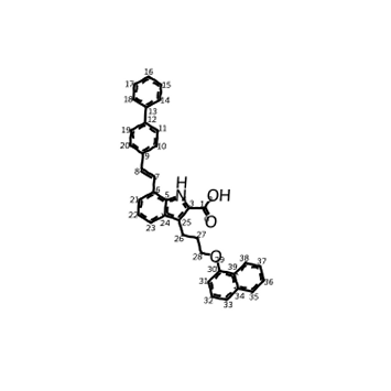 O=C(O)c1[nH]c2c(C=Cc3ccc(-c4ccccc4)cc3)cccc2c1CCCOc1cccc2ccccc12